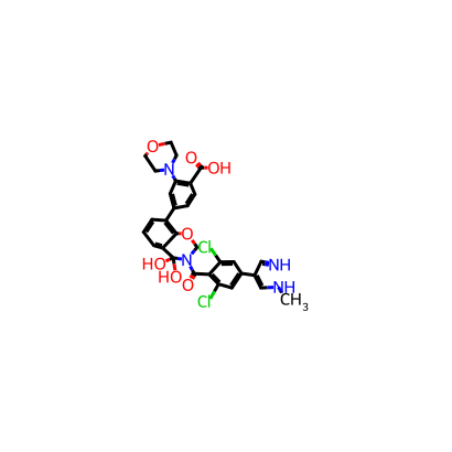 CN/C=C(\C=N)c1cc(Cl)c(C(=O)N2COc3c(-c4ccc(C(=O)O)c(N5CCOCC5)c4)cccc3C2(O)O)c(Cl)c1